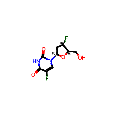 O=c1[nH]c(=O)n([C@H]2C[C@@H](F)[C@@H](CO)O2)cc1F